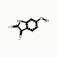 CCOc1ccc2c(c1)NC(=O)C2=O